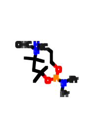 CC(C)N(C(C)C)P(OCCC#N)OC(C)(C)CC(C)(C)NC=O